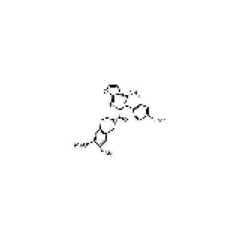 COc1ccc(N2C(N)=c3ccoc3=NC2C(=O)N2CCc3cc(OC)c(OC)cc3C2)cc1